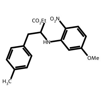 CCOC(=O)C(Cc1ccc(C)cc1)Nc1cc(OC)ccc1[N+](=O)[O-]